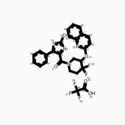 Cc1nc(C(=O)N2CCC(F)(F)C(Oc3ccc4ccccc4n3)C2)c(-c2ccccc2)s1.O=C(O)C(F)(F)F